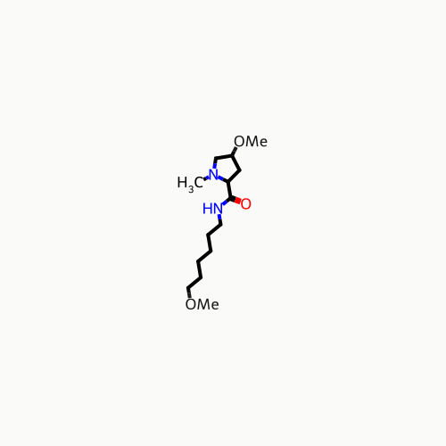 COCCCCCCNC(=O)C1CC(OC)CN1C